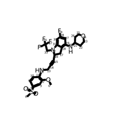 COc1cc(S(C)(=O)=O)ccc1NCC#CC1Cc2c(NC3CCOCC3)cc(F)cc2N1CC(F)(F)F